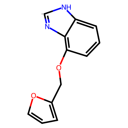 [c]1nc2c(OCc3ccco3)cccc2[nH]1